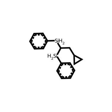 c1ccc([SiH2]C(CC2CC2)[SiH2]c2ccccc2)cc1